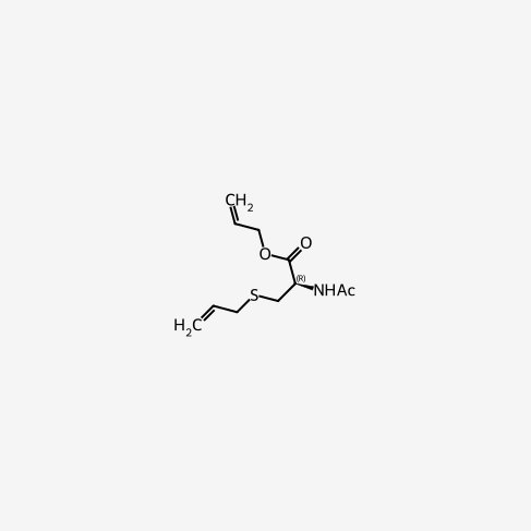 C=CCOC(=O)[C@H](CSCC=C)NC(C)=O